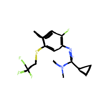 Cc1cc(F)c(/N=C(/C2CC2)N(C)C)cc1SCC(F)(F)F